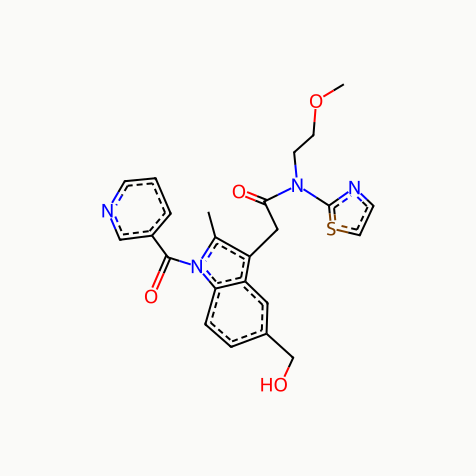 COCCN(C(=O)Cc1c(C)n(C(=O)c2cccnc2)c2ccc(CO)cc12)c1nccs1